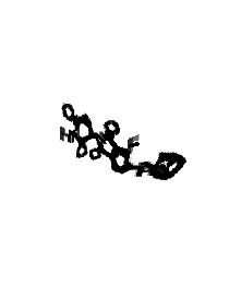 O=C1CCC(N2C(=O)c3ccc(N4CC5CC(C4)N5)c(F)c3C2=O)C(=O)N1